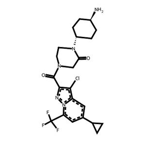 N[C@H]1CC[C@H](N2CCN(C(=O)c3nn4c(C(F)(F)F)cc(C5CC5)cc4c3Cl)CC2=O)CC1